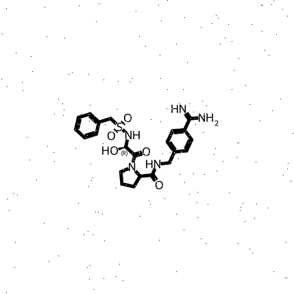 N=C(N)c1ccc(CNC(=O)C2CCCN2C(=O)[C@@H](O)NS(=O)(=O)Cc2ccccc2)cc1